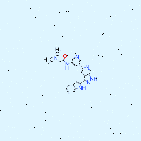 CN(C)CC(=O)Nc1cncc(-c2cc3c(-c4cc5ccccc5[nH]4)n[nH]c3cn2)c1